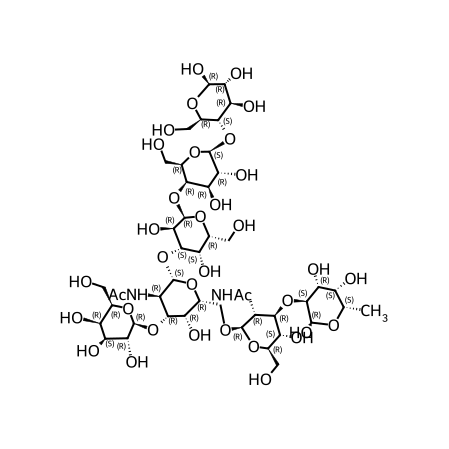 CC(=O)N[C@H]1[C@H](O[C@H]2[C@@H](O)[C@@H](CO)O[C@H](O[C@@H]3[C@H](O)[C@@H](O)[C@H](O[C@H]4[C@H](O)[C@@H](O)[C@H](O)O[C@@H]4CO)O[C@@H]3CO)[C@@H]2O)O[C@H](CO[C@@H]2O[C@H](CO)[C@@H](O)[C@H](O[C@H]3[C@H](O)[C@H](O)[C@H](C)O[C@H]3O)[C@H]2NC(C)=O)[C@H](O)[C@@H]1O[C@@H]1O[C@H](CO)[C@H](O)[C@H](O)[C@H]1O